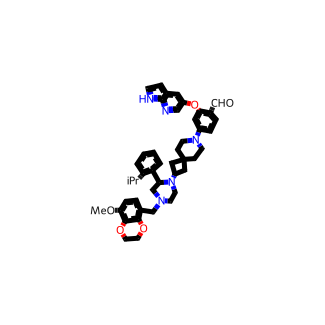 COc1ccc(CN2CCN(C3CC4(CCN(c5ccc(C=O)c(Oc6cnc7[nH]ccc7c6)c5)CC4)C3)C(c3ccccc3C(C)C)C2)c2c1OCCO2